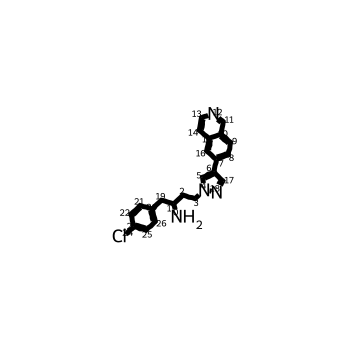 NC(CCn1cc(-c2ccc3cnccc3c2)cn1)Cc1ccc(Cl)cc1